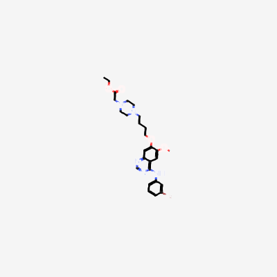 CCOC(=O)CN1CCN(CCCCOc2cc3ncnc(Nc4cccc(Br)c4)c3cc2OC)CC1